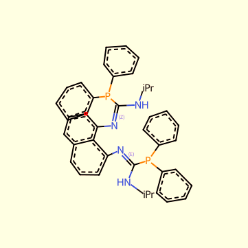 CC(C)N/C(=N/c1cccc2cccc(/N=C(\NC(C)C)P(c3ccccc3)c3ccccc3)c12)P(c1ccccc1)c1ccccc1